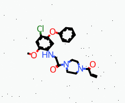 C=CC(=O)N1CCN(C(=O)CNc2cc(Oc3ccccc3)c(Cl)cc2OC)CC1